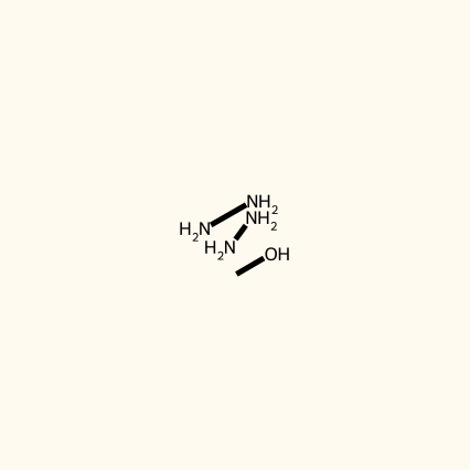 CO.NN.NN